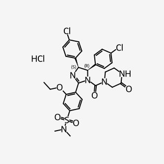 CCOc1cc(S(=O)(=O)N(C)C)ccc1C1=N[C@@H](c2ccc(Cl)cc2)[C@@H](c2ccc(Cl)cc2)N1C(=O)N1CCNC(=O)C1.Cl